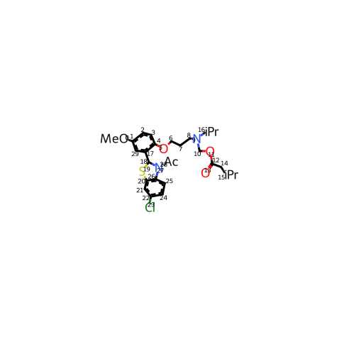 COc1ccc(OCCCN(COC(=O)CC(C)C)C(C)C)c(C2Sc3cc(Cl)ccc3N2C(C)=O)c1